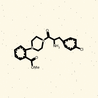 COC(=O)c1ccccc1N1CCN(C(=O)C(N)Cc2ccc(Cl)cc2)CC1